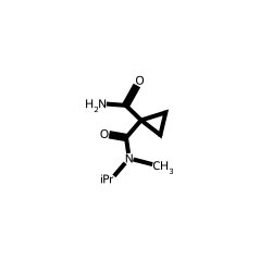 CC(C)N(C)C(=O)C1(C(N)=O)CC1